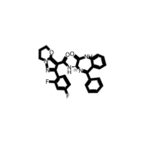 O=C(N[C@H]1N=C(c2ccccc2)c2ccccc2NC1=O)c1c(-c2ccc(F)cc2F)nn2c1OCCC2